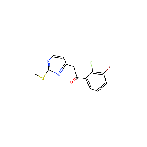 CSc1nccc(CC(=O)c2cccc(Br)c2F)n1